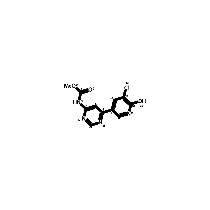 COC(=O)Nc1cc(-c2cnc(O)c(Cl)c2)ncn1